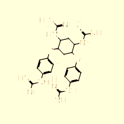 N=C(N)Nc1ccc(OC2CC(Oc3ccc(NC(=N)N)cc3)C(NC(=N)N)CC2NC(=N)N)cc1